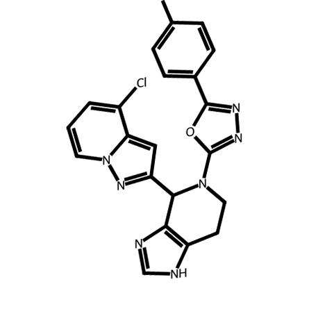 Fc1ccc(-c2nnc(N3CCc4[nH]cnc4C3c3cc4c(Cl)cccn4n3)o2)cc1